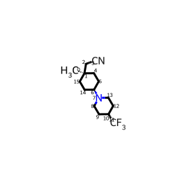 C[C@]1(CC#N)CC[C@@H](N2CCC(C(F)(F)F)CC2)CC1